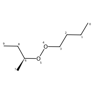 CCCCOO[C@@H](C)CC